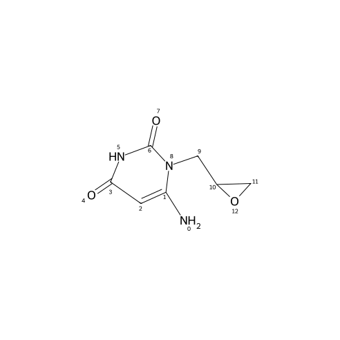 Nc1cc(=O)[nH]c(=O)n1CC1CO1